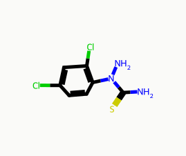 NC(=S)N(N)c1ccc(Cl)cc1Cl